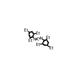 CCc1cc(CC)c(N=C=Nc2c(CC)cc(CC)cc2CC)c(CC)c1